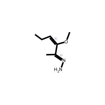 CC/C=C(OC)\C(C)=N\N